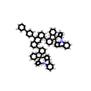 c1ccc(-c2ccc(-c3c4cccc(-c5cccc6c5-c5ccccc5C65c6ccccc6-n6c7ccccc7c7cccc5c76)c4cc4c(-c5cccc6c5-c5ccccc5C65c6ccccc6-n6c7ccccc7c7cccc5c76)cccc34)cc2)cc1